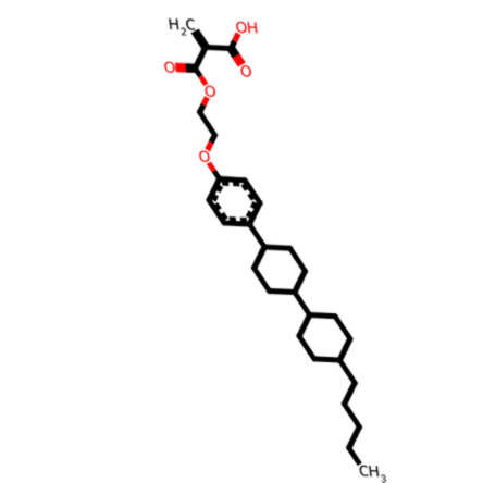 C=C(C(=O)O)C(=O)OCCOc1ccc(C2CCC(C3CCC(CCCCC)CC3)CC2)cc1